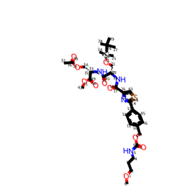 COCCCNC(=O)OCc1ccc(-c2nc(C(=O)N[C@@H](CO[Si](C)(C)C(C)(C)C)C(=O)N[C@@H](COC(C)=O)C(=O)OC)cs2)cc1